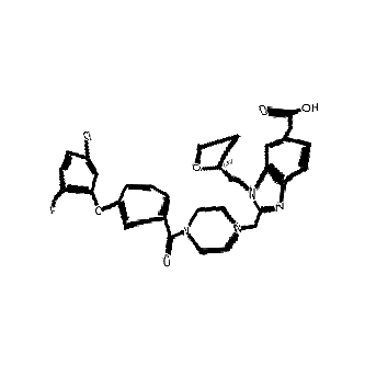 O=C(O)c1ccc2nc(CN3CCN(C(=O)c4cccc(Oc5cc(Cl)ccc5F)c4)CC3)n(C[C@@H]3CCO3)c2c1